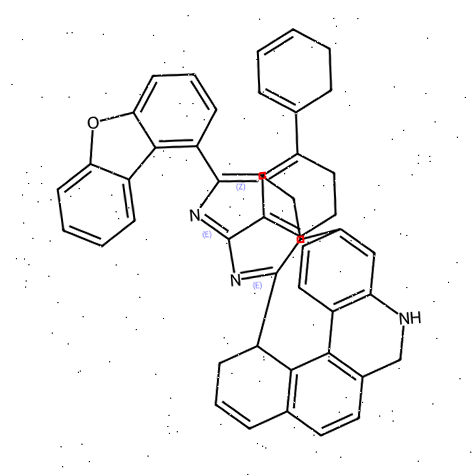 C1=CCCC(C2=CC(C3=N\C(c4cccc5oc6ccccc6c45)=C/CC4/C(=N\3)C3CC=Cc5ccc6c(c53)-c3ccc4cc3NC6)=CCC2)=C1